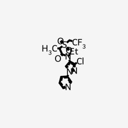 CCN(C(=O)C(C)S(=O)(=O)CC(F)(F)F)c1cn(-c2cccnc2)nc1Cl